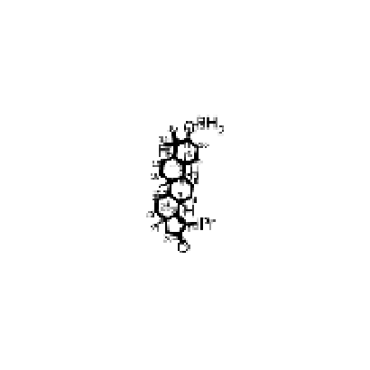 CC(C)C1=C2[C@H]3CC[C@@H]4[C@@]5(C)CC[C@H](OP)C(C)(C)[C@@H]5CC[C@@]4(C)[C@]3(C)CC[C@@]2(C)CC1=O